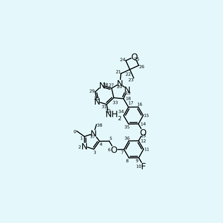 Cc1ncc(COc2cc(F)cc(Oc3ccc(-c4nn(CC5(C)COC5)c5ncnc(N)c45)cc3)c2)n1C